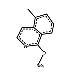 CCCCOc1nccc2c(C)cccc12